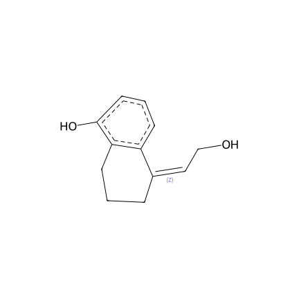 OC/C=C1/CCCc2c(O)cccc21